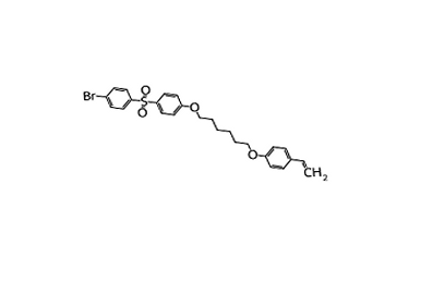 C=Cc1ccc(OCCCCCCOc2ccc(S(=O)(=O)c3ccc(Br)cc3)cc2)cc1